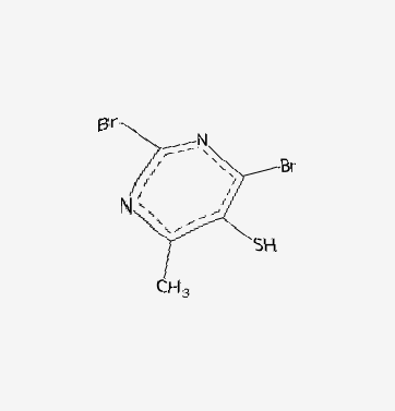 Cc1nc(Br)nc(Br)c1S